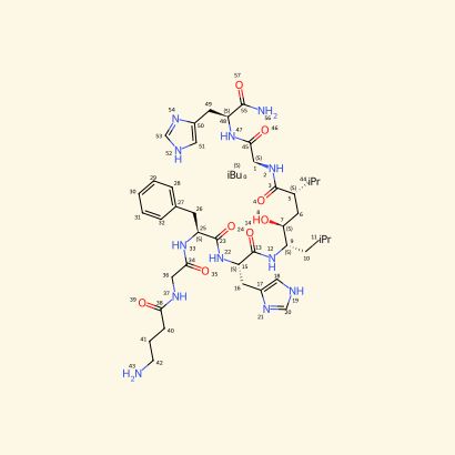 CC[C@H](C)[C@H](NC(=O)[C@@H](C[C@H](O)[C@H](CC(C)C)NC(=O)[C@H](Cc1c[nH]cn1)NC(=O)[C@H](Cc1ccccc1)NC(=O)CNC(=O)CCCN)C(C)C)C(=O)N[C@@H](Cc1c[nH]cn1)C(N)=O